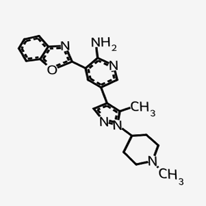 Cc1c(-c2cnc(N)c(-c3nc4ccccc4o3)c2)cnn1C1CCN(C)CC1